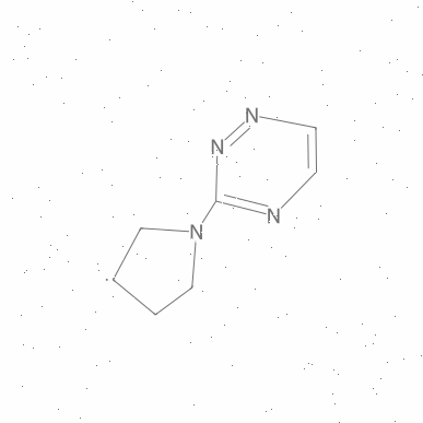 [CH]1CCN(c2nccnn2)C1